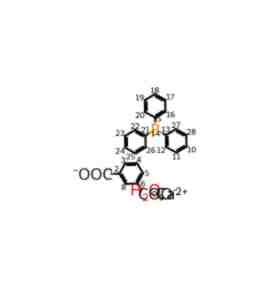 O.O=C([O-])c1cccc(C(=O)[O-])c1.[Ca+2].c1ccc(P(c2ccccc2)c2ccccc2)cc1